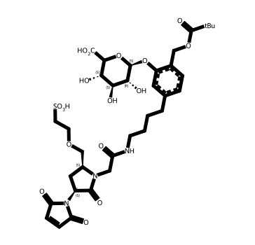 CC(C)(C)C(=O)OCc1ccc(CCCCNC(=O)CN2C(=O)[C@@H](N3C(=O)C=CC3=O)C[C@H]2COCCS(=O)(=O)O)cc1O[C@@H]1OC(C(=O)O)[C@@H](O)[C@H](O)[C@H]1O